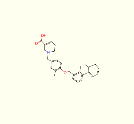 Cc1cc(CN2CCC=C(C(=O)O)C2)ccc1OCc1cccc(C2=CC=CCC2C)c1C